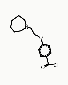 O=C(Cl)c1ccc(OCCN2CCCCCC2)cc1